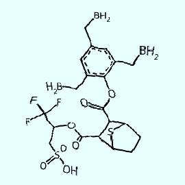 BCc1cc(CB)c(OC(=O)C2C3CCC(S3)C2C(=O)OC(CS(=O)(=O)O)C(F)(F)F)c(CB)c1